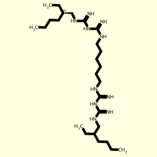 CCCCC(CC)CNC(=N)NC(=N)NCCCCCCNC(=N)NC(=N)NC[C@H](CC)CCCC